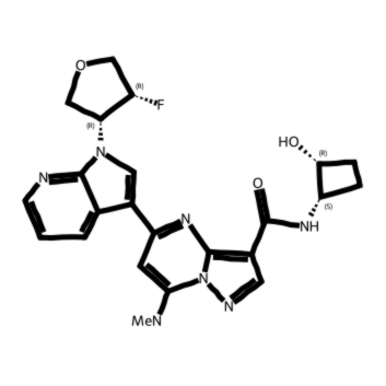 CNc1cc(-c2cn([C@@H]3COC[C@@H]3F)c3ncccc23)nc2c(C(=O)N[C@H]3CC[C@H]3O)cnn12